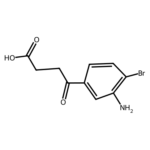 Nc1cc(C(=O)CCC(=O)O)ccc1Br